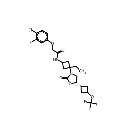 CCC1(N2C[C@H](C3CC(OC(F)(F)F)C3)OC2=O)CC(NC(=O)COc2ccc(Cl)c(F)c2)C1